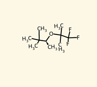 C[C@H](OC(C)(C)C(F)(F)F)C(C)(C)C